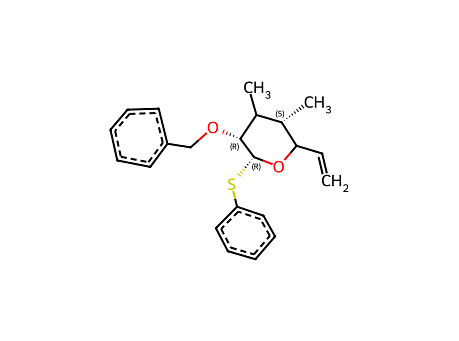 C=CC1O[C@H](Sc2ccccc2)[C@H](OCc2ccccc2)C(C)[C@@H]1C